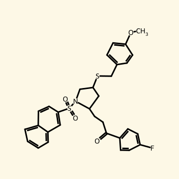 COc1ccc(CSC2CC(CCC(=O)c3ccc(F)cc3)N(S(=O)(=O)c3ccc4ccccc4c3)C2)cc1